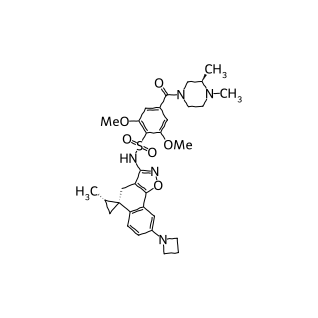 COc1cc(C(=O)N2CCN(C)[C@H](C)C2)cc(OC)c1S(=O)(=O)Nc1noc2c1C[C@@]1(C[C@@H]1C)c1ccc(N3CCC3)cc1-2